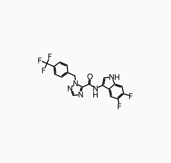 O=C(Nc1c[nH]c2cc(F)c(F)cc12)c1ncnn1Cc1ccc(C(F)(F)F)cc1